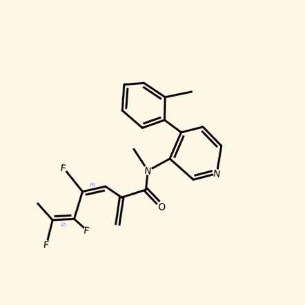 C=C(/C=C(F)\C(F)=C(/C)F)C(=O)N(C)c1cnccc1-c1ccccc1C